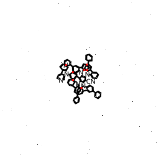 N#Cc1c(-n2c3ccccc3c3cc(-c4ccccc4)ccc32)c(-n2c3ccccc3c3cc(-c4ccccc4)ccc32)c(-c2ccc(-n3c4cnccc4c4ccncc43)cc2)c(-n2c3ccccc3c3cc(-c4ccccc4)ccc32)c1-n1c2ccccc2c2cc(-c3ccccc3)ccc21